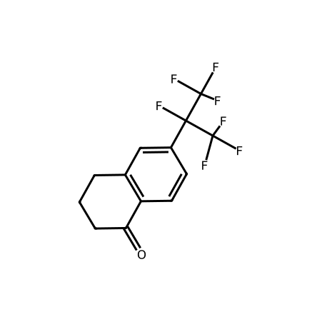 O=C1CCCc2cc(C(F)(C(F)(F)F)C(F)(F)F)ccc21